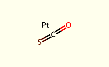 O=C=S.[Pt]